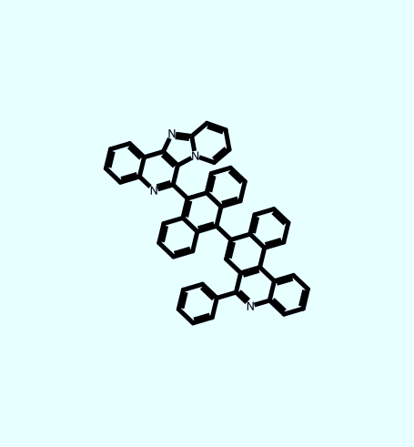 c1ccc(-c2nc3ccccc3c3c2cc(-c2c4ccccc4c(-c4nc5ccccc5c5nc6ccccn6c45)c4ccccc24)c2ccccc23)cc1